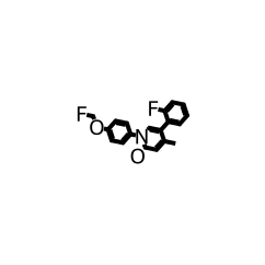 Cc1cc(=O)n(-c2ccc(OCF)cc2)cc1-c1ccccc1F